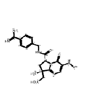 CCCNc1cnc2n(c1=O)[C@@H](C(=O)NCc1ccc(C(=N)N)cc1)C[C@@]2(C)CC(=O)O